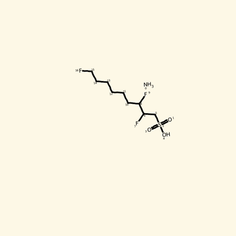 N.O=S(=O)(O)CC(F)C(F)CCCCCCF